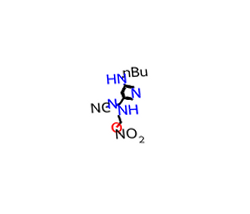 CCCCNc1cncc(C(=NC#N)NCCO[N+](=O)[O-])c1